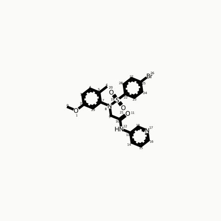 COc1ccc(C)c(N(CC(=O)Nc2cccnc2)S(=O)(=O)c2ccc(Br)cc2)c1